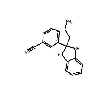 N#Cc1cccc(C2(CCN)Nc3ccccc3N2)c1